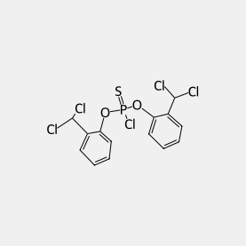 S=P(Cl)(Oc1ccccc1C(Cl)Cl)Oc1ccccc1C(Cl)Cl